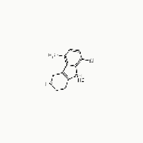 Cc1ccc(Cl)c2[nH]c3c(c12)CNCC3.Cl